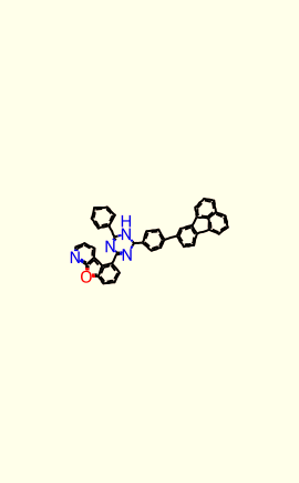 c1ccc(C2=NC(c3cccc4oc5ncccc5c34)=NC(c3ccc(-c4ccc5c(c4)-c4cccc6cccc-5c46)cc3)N2)cc1